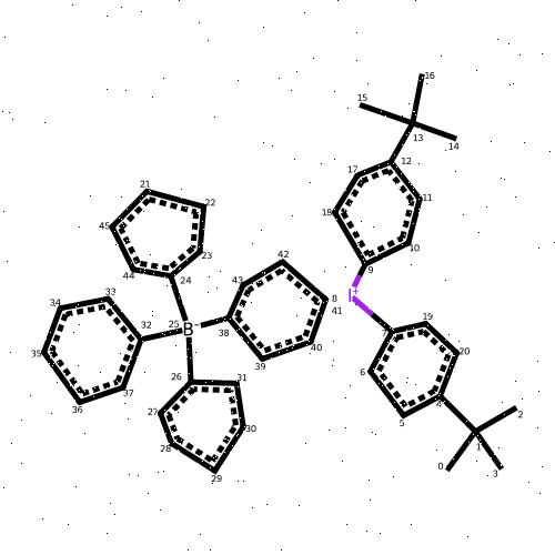 CC(C)(C)c1ccc([I+]c2ccc(C(C)(C)C)cc2)cc1.c1ccc([B-](c2ccccc2)(c2ccccc2)c2ccccc2)cc1